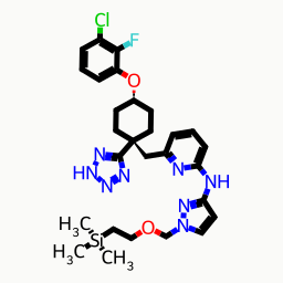 C[Si](C)(C)CCOCn1ccc(Nc2cccc(C[C@]3(c4nn[nH]n4)CC[C@@H](Oc4cccc(Cl)c4F)CC3)n2)n1